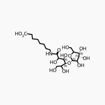 O=C(O)CCCCCCCNC(=O)C(O)[C@@H](O)[C@H](O[C@@H]1OC(CO)[C@H](O)[C@H](O)C1O)C(O)CO